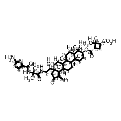 CC(C)C1=C2[C@H]3CC[C@@H]4[C@@]5(C)CC[C@H](OC(=O)[C@H]6C[C@@H](C(=O)O)C6(C)C)C(C)(C)[C@@H]5CC[C@@]4(C)[C@]3(C)CC[C@@]2([C@@H](O)CNC(=O)C(C)(C)NC(=O)c2csc(N)n2)CC1=O